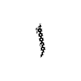 C/C=C/CCC1CCC(C2CCC(C3CCC(C4CCC(c5ccc(OCC)c(F)c5F)CC4)CC3)CO2)CC1